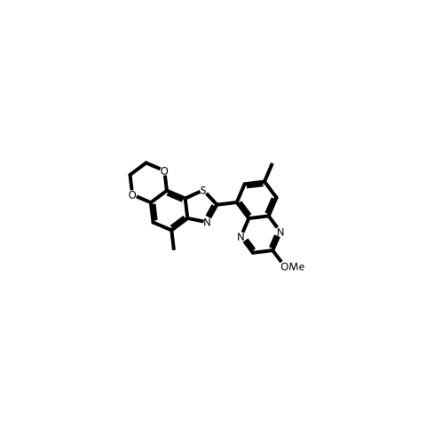 COc1cnc2c(-c3nc4c(C)cc5c(c4s3)OCCO5)cc(C)cc2n1